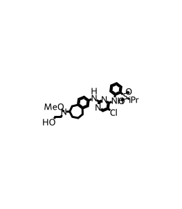 CON(CCO)C1CCCc2cc(Nc3ncc(Cl)c(Nc4ccccc4S(=O)(=O)C(C)C)n3)ccc2C1